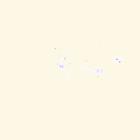 COCCN1C2=CC3CC4(CCc5ccccc53)Cc3ccc(C#N)cc3C24N=C1N